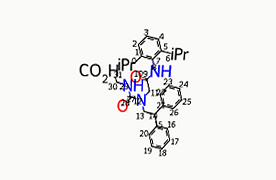 CC(C)c1cccc(C(C)C)c1NC(=O)CN(CC(c1ccccc1)c1ccccc1)C(=O)NCC(=O)O